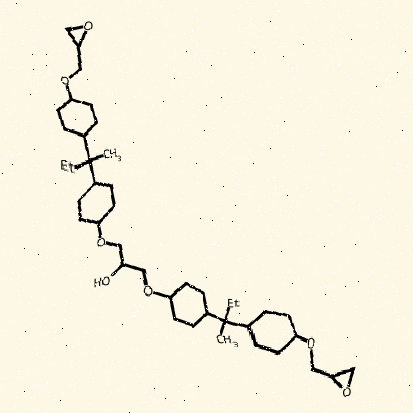 CCC(C)(C1CCC(OCC(O)COC2CCC(C(C)(CC)C3CCC(OCC4CO4)CC3)CC2)CC1)C1CCC(OCC2CO2)CC1